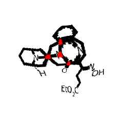 CCOC(=O)CCC(=NO)c1nc2ccccc2n(C2CC3CCC[C@H](C2)N3C2CC3CCCCC(C3)C2)c1=O